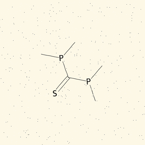 CP(C)C(=S)P(C)C